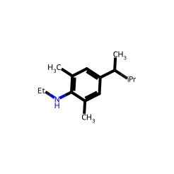 CCNc1c(C)cc(C(C)C(C)C)cc1C